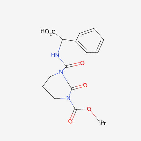 CC(C)OC(=O)N1CCCN(C(=O)NC(C(=O)O)c2ccccc2)C1=O